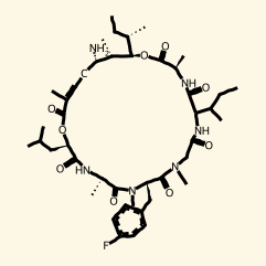 CCC(C)C1NC(=O)CN(C)C(=O)[C@@H](Cc2ccc(F)cc2)N(C)C(=O)[C@H](C)NC(=O)[C@@H](CC(C)C)OC(=O)/C(C)=C/C[C@H](N)[C@H](C)[C@@H]([C@@H](C)CC)OC(=O)[C@@H](C)NC1=O